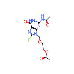 CC(=O)Nc1nc2c(nc(F)n2COCCOC(C)=O)c(=O)[nH]1